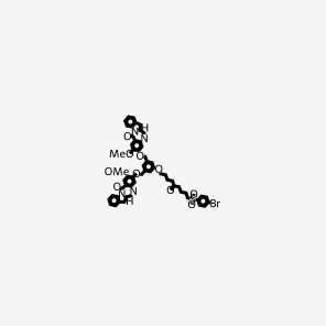 COc1cc2c(cc1OCc1cc(COc3cc4c(cc3OC)C(=O)N3c5ccccc5C[C@H]3C=N4)cc(OCCCCC(=O)CCCCS(=O)(=O)c3ccc(Br)cc3)c1)N=C[C@@H]1Cc3ccccc3N1C2=O